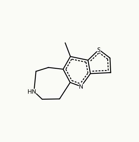 Cc1c2c(nc3ccsc13)CCNCC2